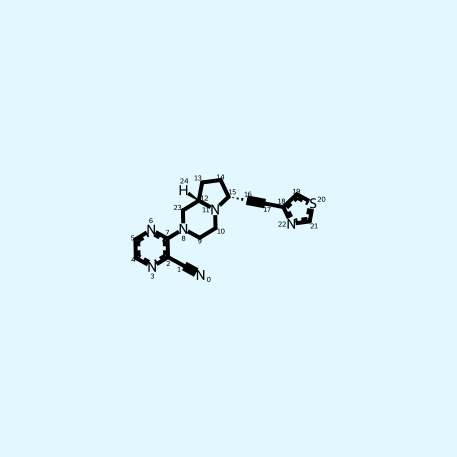 N#Cc1nccnc1N1CCN2[C@@H](CC[C@@H]2C#Cc2cscn2)C1